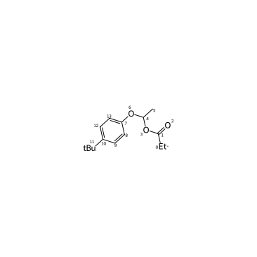 C[CH]C(=O)OC(C)Oc1ccc(C(C)(C)C)cc1